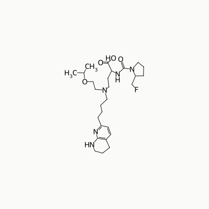 CC(C)OCCN(CCCCc1ccc2c(n1)NCCC2)CCC(NC(=O)N1CCCC1CF)C(=O)O